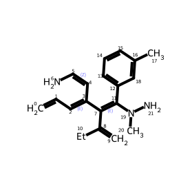 C=C/C=C(\C=C/N)C(/C(=C)CC)=C(\c1cccc(C)c1)N(C)N